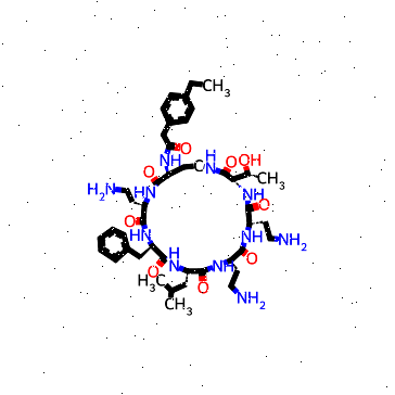 CCc1ccc(CC(=O)N[C@H]2CCNC(=O)[C@H]([C@@H](C)O)NC(=O)[C@H](CCN)NC(=O)[C@H](CCN)NC(=O)[C@H](CC(C)C)NC(=O)[C@@H](Cc3ccccc3)NC(=O)[C@H](CCN)NC2=O)cc1